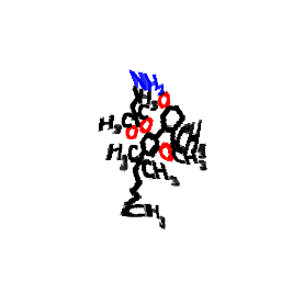 CCCCCCC(C)(C)c1cc(OC(=O)C(C)(C)CCCN)c2c(c1)OC(C)(C)C1CCC(=O)CC21